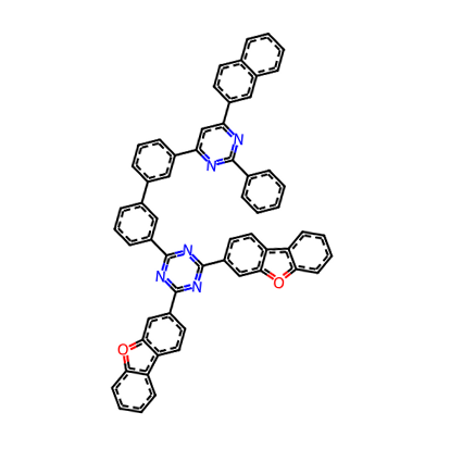 c1ccc(-c2nc(-c3cccc(-c4cccc(-c5nc(-c6ccc7c(c6)oc6ccccc67)nc(-c6ccc7c(c6)oc6ccccc67)n5)c4)c3)cc(-c3ccc4ccccc4c3)n2)cc1